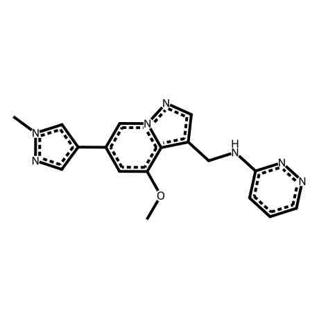 COc1cc(-c2cnn(C)c2)cn2ncc(CNc3cccnn3)c12